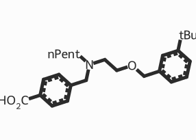 CCCCCN(CCOCc1cccc(C(C)(C)C)c1)Cc1ccc(C(=O)O)cc1